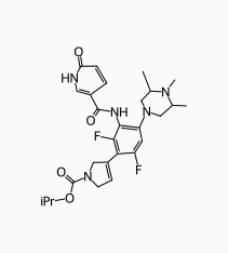 CC(C)OC(=O)N1CC=C(c2c(F)cc(N3CC(C)N(C)C(C)C3)c(NC(=O)c3ccc(=O)[nH]c3)c2F)C1